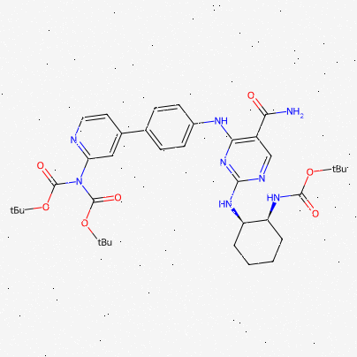 CC(C)(C)OC(=O)N[C@H]1CCCC[C@H]1Nc1ncc(C(N)=O)c(Nc2ccc(-c3ccnc(N(C(=O)OC(C)(C)C)C(=O)OC(C)(C)C)c3)cc2)n1